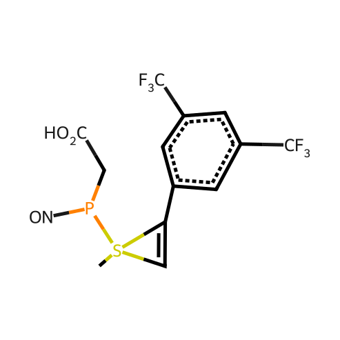 CS1(P(CC(=O)O)N=O)C=C1c1cc(C(F)(F)F)cc(C(F)(F)F)c1